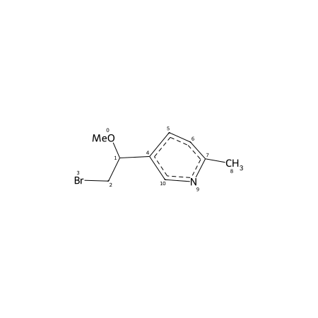 COC(CBr)c1ccc(C)nc1